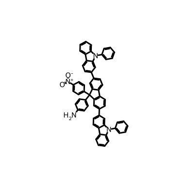 Nc1ccc(C2(c3ccc([N+](=O)[O-])cc3)c3cc(-c4ccc5c6ccccc6n(-c6ccccc6)c5c4)ccc3-c3ccc(-c4ccc5c6ccccc6n(-c6ccccc6)c5c4)cc32)cc1